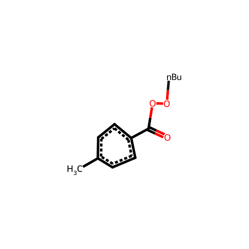 [CH2]CCCOOC(=O)c1ccc(C)cc1